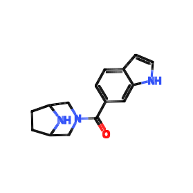 O=C(c1ccc2cc[nH]c2c1)N1CC2CCC(C1)N2